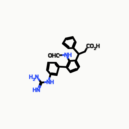 N=C(N)Nc1cccc(-c2cccc(C(CC(=O)O)c3ccccc3)c2NC=O)c1